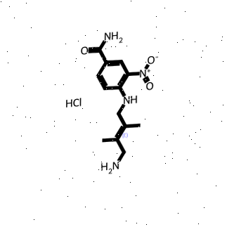 C/C(CN)=C(/C)CNc1ccc(C(N)=O)cc1[N+](=O)[O-].Cl